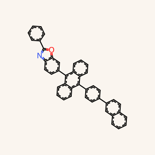 c1ccc(-c2nc3ccc(-c4c5ccccc5c(-c5ccc(-c6ccc7ccccc7c6)cc5)c5ccccc45)cc3o2)cc1